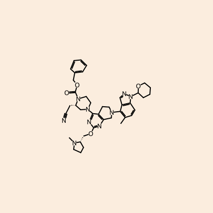 Cc1ccc2c(cnn2C2CCCCO2)c1N1CCc2c(nc(OC[C@@H]3CCCN3C)nc2N2CCN(C(=O)OCc3ccccc3)[C@@H](CC#N)C2)C1